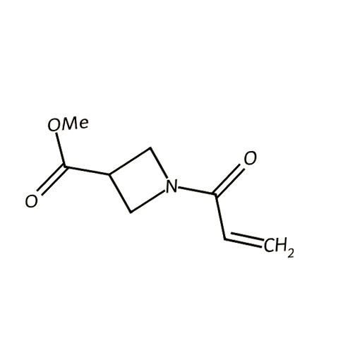 C=CC(=O)N1CC(C(=O)OC)C1